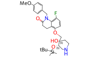 COc1ccc(CN2C(=O)CCc3c(OC[C@@]4(O)CCNC[C@@H]4O[Si](C)(C)C(C)(C)C)ccc(F)c32)cc1